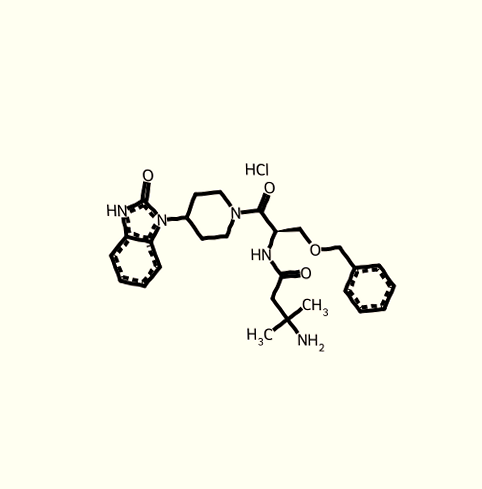 CC(C)(N)CC(=O)N[C@H](COCc1ccccc1)C(=O)N1CCC(n2c(=O)[nH]c3ccccc32)CC1.Cl